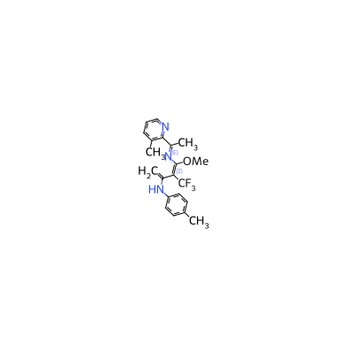 C=C(Nc1ccc(C)cc1)/C(=C(\N=C(/C)c1ncccc1C)OC)C(F)(F)F